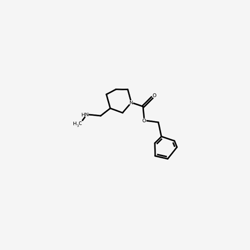 CNCC1CCCN(C(=O)OCc2ccccc2)C1